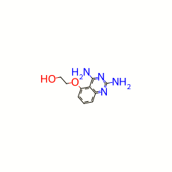 Nc1nc(N)c2c(OCCO)cccc2n1